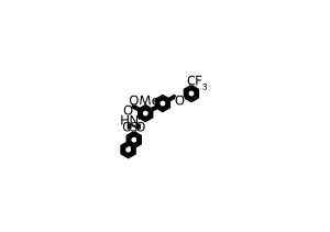 COC(=O)c1cc(-c2ccc(COc3cccc(C(F)(F)F)c3)cc2)ccc1NS(=O)(=O)c1ccc2ccccc2c1